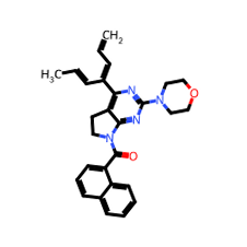 C=C/C=C(\C=C\C)c1nc(N2CCOCC2)nc2c1CCN2C(=O)c1cccc2ccccc12